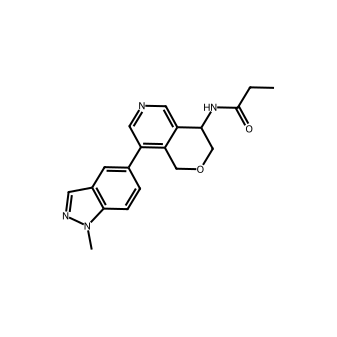 CCC(=O)NC1COCc2c(-c3ccc4c(cnn4C)c3)cncc21